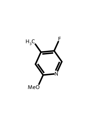 COc1cc(C)c(F)cn1